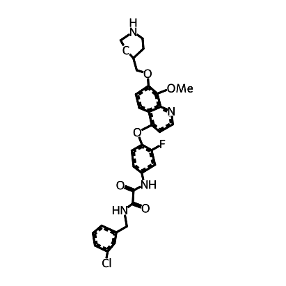 COc1c(OCC2CCNCC2)ccc2c(Oc3ccc(NC(=O)C(=O)NCc4cccc(Cl)c4)cc3F)ccnc12